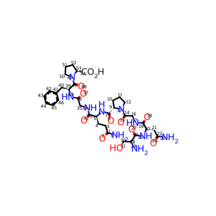 NC(=O)CC[C@H](NC(=O)[C@@H]1CCCN1C(=O)CNC(=O)[C@H](CC(N)=O)NC(=O)[C@@H](N)CO)C(=O)NCC(=O)N[C@@H](Cc1ccccc1)C(=O)N1CCC[C@H]1C(=O)O